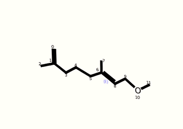 C=C(C)CCC/C(C)=C/COC